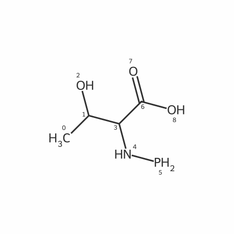 CC(O)C(NP)C(=O)O